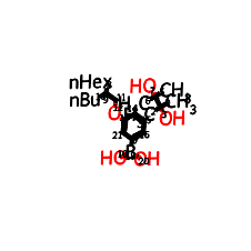 CC(C)(O)C(C)(C)O.CCCCCCC(CCCC)COc1cccc(B(O)O)c1